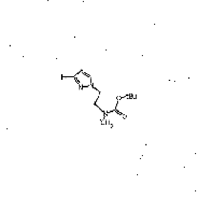 CN(CCn1ccc(I)n1)C(=O)OC(C)(C)C